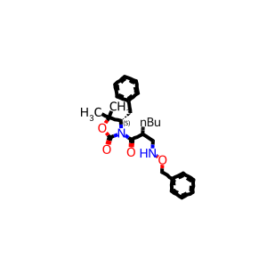 CCCCC(CNOCc1ccccc1)C(=O)N1C(=O)OC(C)(C)[C@@H]1Cc1ccccc1